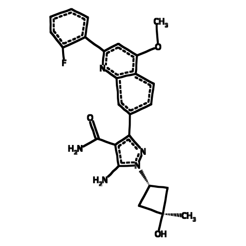 COc1cc(-c2ccccc2F)nc2cc(-c3nn([C@H]4C[C@](C)(O)C4)c(N)c3C(N)=O)ccc12